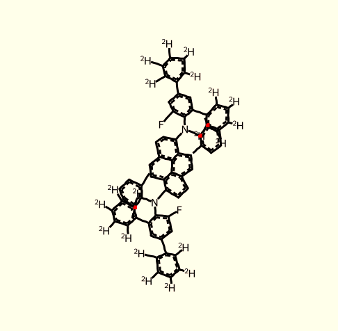 [2H]c1c([2H])c([2H])c(-c2cc(F)c(N(c3c(C)cccc3C)c3ccc4ccc5c(N(c6c(C)cccc6C)c6c(F)cc(-c7c([2H])c([2H])c([2H])c([2H])c7[2H])cc6-c6c([2H])c([2H])c([2H])c([2H])c6[2H])ccc6ccc3c4c65)c(-c3c([2H])c([2H])c([2H])c([2H])c3[2H])c2)c([2H])c1[2H]